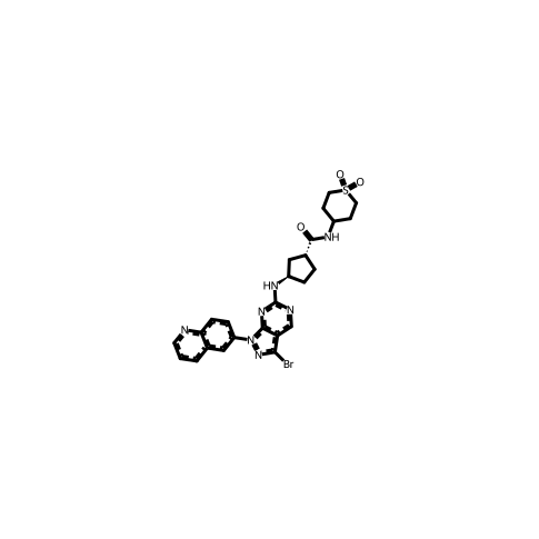 O=C(NC1CCS(=O)(=O)CC1)[C@@H]1CC[C@@H](Nc2ncc3c(Br)nn(-c4ccc5ncccc5c4)c3n2)C1